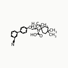 CC1(C)CCC(N(CCOc2ccc(-c3cccc(C#N)c3)cc2)C(=O)O)(C(C)(C)C)CC1